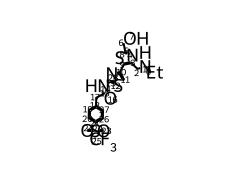 CCNCc1nc(CO)sc1-c1csc(NC(=O)Cc2ccc(S(=O)(=O)C(F)(F)F)cc2)n1